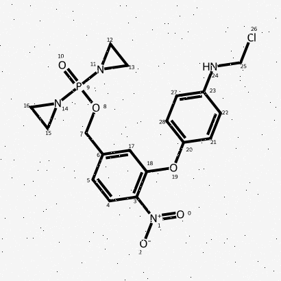 O=[N+]([O-])c1ccc(COP(=O)(N2CC2)N2CC2)cc1Oc1ccc(NCCl)cc1